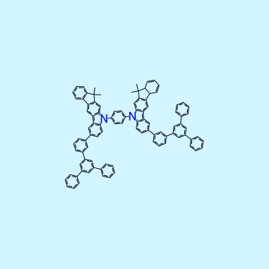 CC1(C)c2ccccc2-c2cc3c4cc(-c5cccc(-c6cc(-c7ccccc7)cc(-c7ccccc7)c6)c5)ccc4n(-c4ccc(-n5c6ccc(-c7cccc(-c8cc(-c9ccccc9)cc(-c9ccccc9)c8)c7)cc6c6cc7c(cc65)C(C)(C)C5C=CC=CC75)cc4)c3cc21